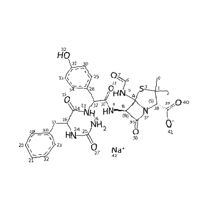 CC1(C)SC2(NC=O)[C@H](NC(=O)C(NC(=O)C(Cc3ccccc3)NC(N)=O)c3ccc(O)cc3)C(=O)N2[C@H]1C(=O)[O-].[Na+]